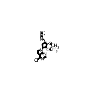 CO[C@@H]1[C@@H](CN=[N+]=[N-])C[C@@H](n2ccc3c(Cl)ncnc32)[C@@H]1OC